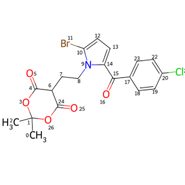 CC1(C)OC(=O)C(CCn2c(Br)ccc2C(=O)c2ccc(Cl)cc2)C(=O)O1